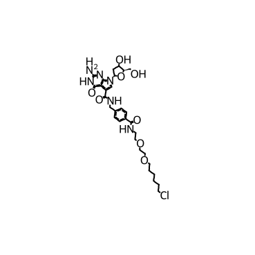 Nc1nc2c(c(C(=O)NCc3ccc(C(=O)NCCOCCOCCCCCCCl)cc3)cn2[C@H]2CC(O)[C@@H](CO)O2)c(=O)[nH]1